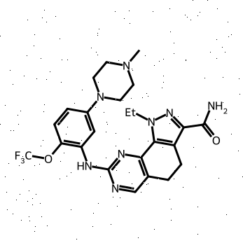 CCn1nc(C(N)=O)c2c1-c1nc(Nc3cc(N4CCN(C)CC4)ccc3OC(F)(F)F)ncc1CC2